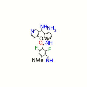 CNc1cc(F)c(C(=O)Nc2ccc(N)c(C(=N)c3cnccc3OC)c2)c(F)c1C=N